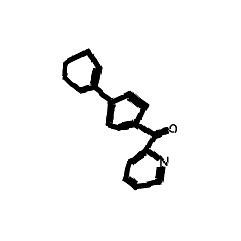 O=C(c1ccc(C2=CCCCC2)cc1)c1ccccn1